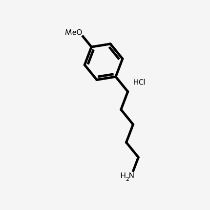 COc1ccc(CCCCCN)cc1.Cl